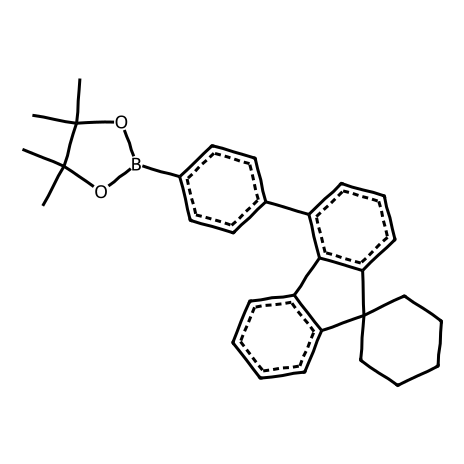 CC1(C)OB(c2ccc(-c3cccc4c3-c3ccccc3C43CCCCC3)cc2)OC1(C)C